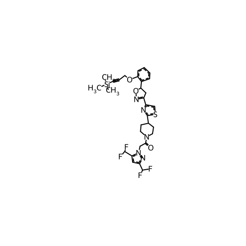 C[Si](C)(C)C#CCOc1ccccc1C1CC(c2csc(C3CCN(C(=O)Cn4nc(C(F)F)cc4C(F)F)CC3)n2)=NO1